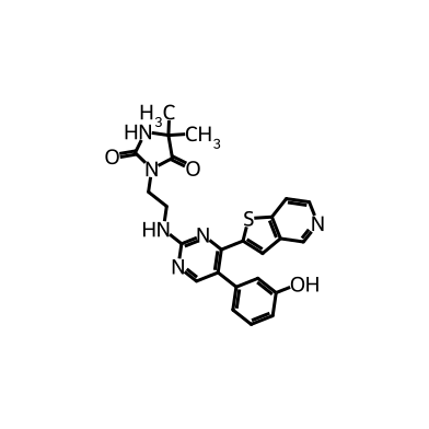 CC1(C)NC(=O)N(CCNc2ncc(-c3cccc(O)c3)c(-c3cc4cnccc4s3)n2)C1=O